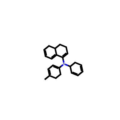 CC1=CC=C(N(C2=CCCC3CC=CC=C23)C2C=CC=CC2)CC1